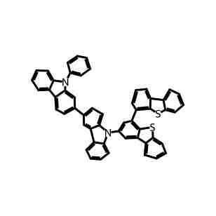 c1ccc(-n2c3ccccc3c3ccc(-c4ccc5c(c4)c4ccccc4n5-c4cc(-c5cccc6c5sc5ccccc56)c5sc6ccccc6c5c4)cc32)cc1